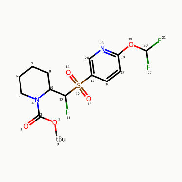 CC(C)(C)OC(=O)N1CCCCC1C(F)S(=O)(=O)c1ccc(OC(F)F)nc1